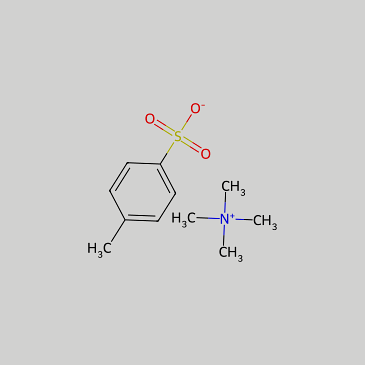 C[N+](C)(C)C.Cc1ccc(S(=O)(=O)[O-])cc1